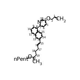 C=CCOc1ccc(-c2cccc3cc(C=CCCCC(C)OCCCCC)ccc23)nc1